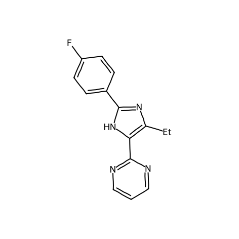 CCc1nc(-c2ccc(F)cc2)[nH]c1-c1ncccn1